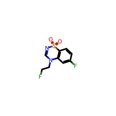 O=S1(=O)N=CN(CCF)c2cc(F)ccc21